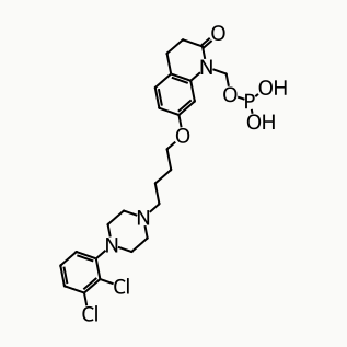 O=C1CCc2ccc(OCCCCN3CCN(c4cccc(Cl)c4Cl)CC3)cc2N1COP(O)O